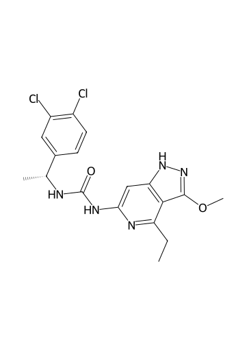 CCc1nc(NC(=O)N[C@H](C)c2ccc(Cl)c(Cl)c2)cc2[nH]nc(OC)c12